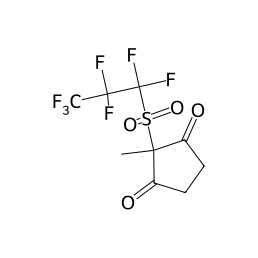 CC1(S(=O)(=O)C(F)(F)C(F)(F)C(F)(F)F)C(=O)CCC1=O